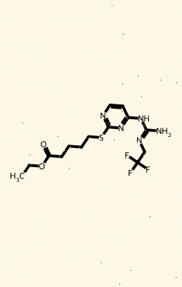 CCOC(=O)CCCCSc1nccc(NC(N)=NCC(F)(F)F)n1